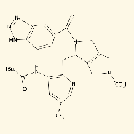 CC(C)(C)C(=O)Nc1cc(C(F)(F)F)cnc1[CH]C1C2=C(CN(C(=O)O)C2)CN1C(=O)c1ccc2[nH]nnc2c1